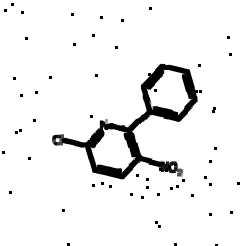 O=[N+]([O-])c1ccc(Cl)nc1-c1ccccc1